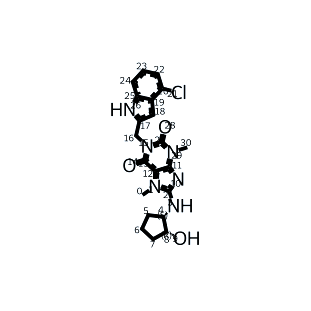 Cn1c(N[C@H]2CCC[C@H]2O)nc2c1c(=O)n(Cc1cc3c(Cl)cccc3[nH]1)c(=O)n2C